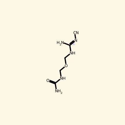 N#C/N=C(\N)NCOCNC(N)=O